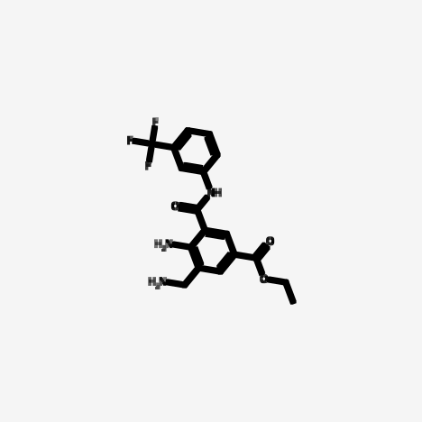 CCOC(=O)c1cc(CN)c(N)c(C(=O)Nc2cccc(C(F)(F)F)c2)c1